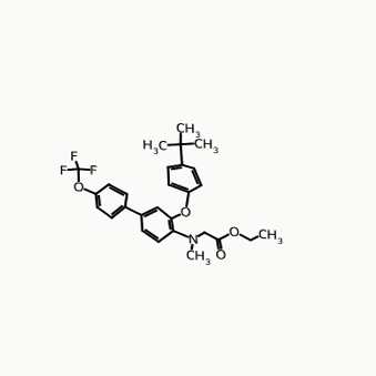 CCOC(=O)CN(C)c1ccc(-c2ccc(OC(F)(F)F)cc2)cc1Oc1ccc(C(C)(C)C)cc1